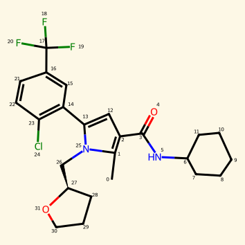 Cc1c(C(=O)NC2CCCCC2)cc(-c2cc(C(F)(F)F)ccc2Cl)n1C[C@H]1CCCO1